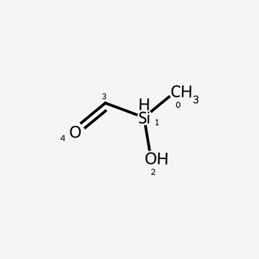 C[SiH](O)C=O